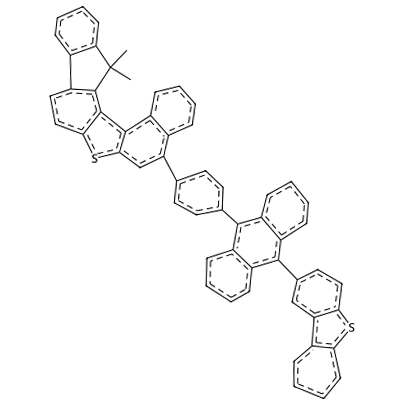 CC1(C)c2ccccc2-c2ccc3sc4cc(-c5ccc(-c6c7ccccc7c(-c7ccc8sc9ccccc9c8c7)c7ccccc67)cc5)c5ccccc5c4c3c21